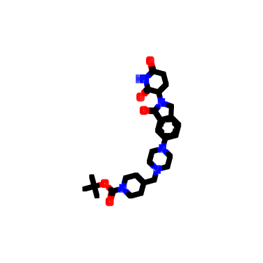 CC(C)(C)OC(=O)N1CCC(CN2CCN(c3ccc4c(c3)C(=O)N(C3CCC(=O)NC3=O)C4)CC2)CC1